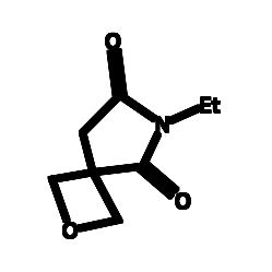 CCN1C(=O)CC2(COC2)C1=O